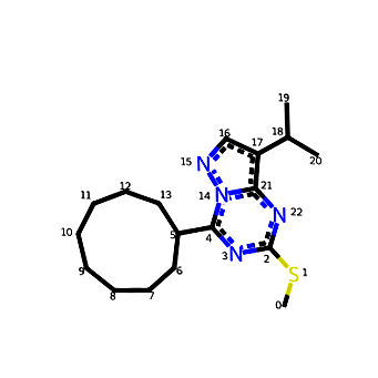 CSc1nc(C2CCCCCCCC2)n2ncc(C(C)C)c2n1